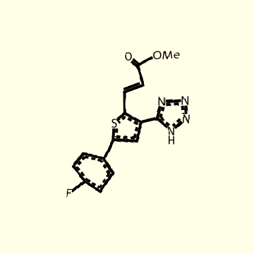 COC(=O)C=Cc1sc(-c2ccc(F)cc2)cc1-c1nnn[nH]1